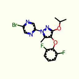 Cc1c(Oc2c(F)cccc2F)c(OC(C)C)nn1-c1cnc(Br)cn1